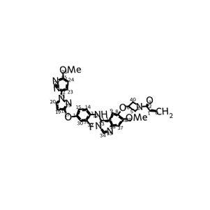 C=CC(=O)N1CC(Oc2cc3c(Nc4ccc(Oc5ccn(-c6ccc(OC)nn6)n5)cc4F)ncnc3cc2OC)C1